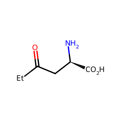 CCC(=O)C[C@@H](N)C(=O)O